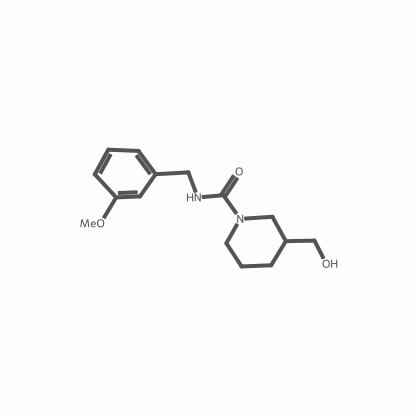 COc1cccc(CNC(=O)N2CCCC(CO)C2)c1